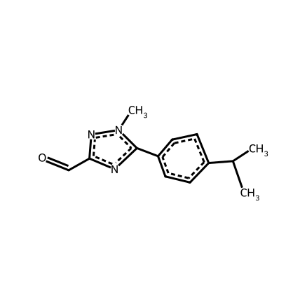 CC(C)c1ccc(-c2nc(C=O)nn2C)cc1